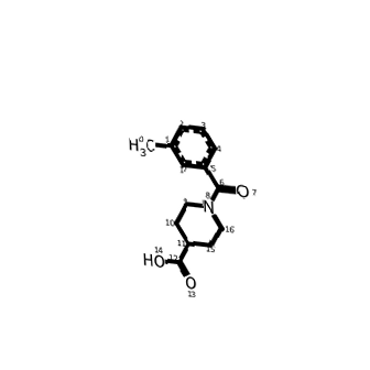 Cc1cccc(C(=O)N2CCC(C(=O)O)CC2)c1